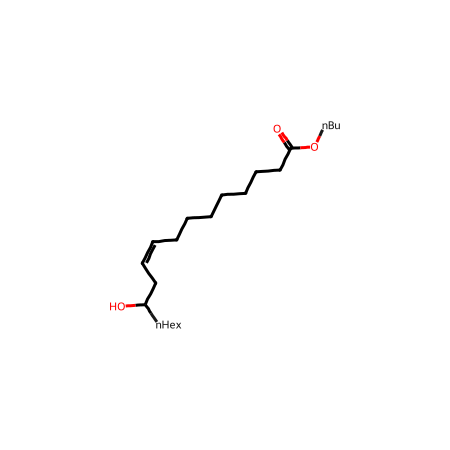 CCCCCCC(O)C/C=C\CCCCCCCC(=O)OCCCC